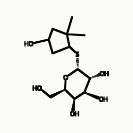 CC1(C)CC(O)CC1S[C@H]1O[C@H](CO)[C@H](O)[C@H](O)[C@H]1O